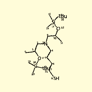 CC(CN(CCCCS)CC(C)O[Si](C)(C)C(C)(C)C)O[Si](C)(C)C(C)(C)C